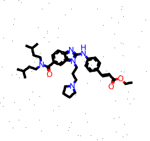 CCOC(=O)/C=C/c1ccc(Nc2nc3ccc(C(=O)N(CCC(C)C)CCC(C)C)cc3n2CCCN2CCCC2)cc1